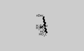 CCCCCCCCCCCCCCCCC[C@H](C[C@@H](O)CC(=O)O)O[Si](C)(C)C(C)(C)C